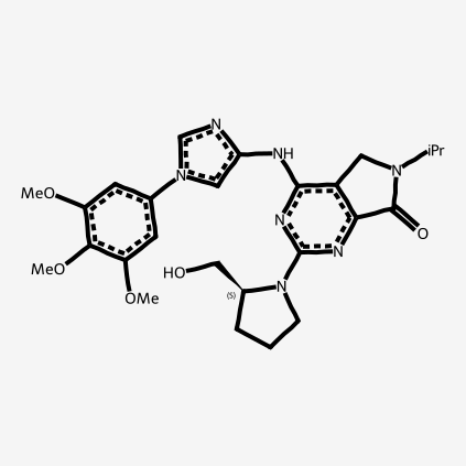 COc1cc(-n2cnc(Nc3nc(N4CCC[C@H]4CO)nc4c3CN(C(C)C)C4=O)c2)cc(OC)c1OC